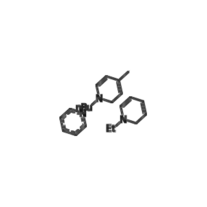 CCCCN1C=CC(C)=CC1.CCN1C=CC=CC1.c1ccncc1